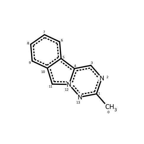 Cc1ncc2c3ccccc3cn2n1